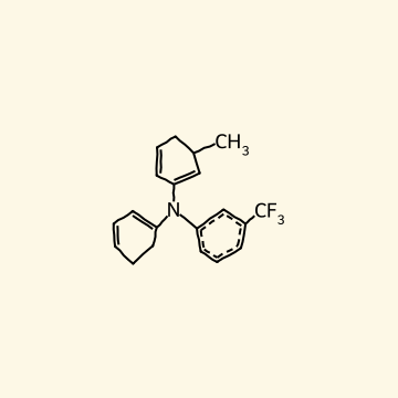 CC1C=C(N(C2=CC=CCC2)c2cccc(C(F)(F)F)c2)C=CC1